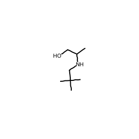 CC(CO)NCC(C)(C)C